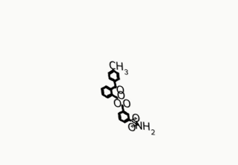 Cc1ccc(C(=O)c2ccccc2C(=O)OC(=O)c2cccc(S(N)(=O)=O)c2)cc1